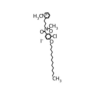 CCCCCCCCCCCCCCOc1ccc(C(=O)N(CCCc2cccc[n+]2C)C(C)=O)cc1Cl.[I-]